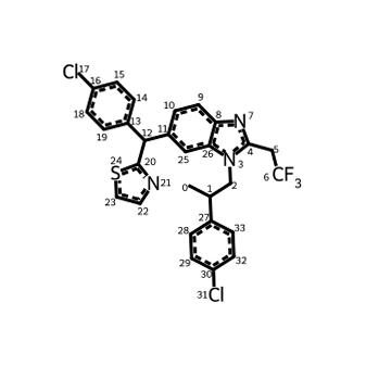 CC(Cn1c(CC(F)(F)F)nc2ccc(C(c3ccc(Cl)cc3)c3nccs3)cc21)c1ccc(Cl)cc1